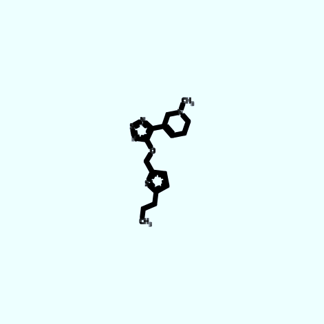 CCCc1ccc(COc2nsnc2C2=CCCN(C)C2)s1